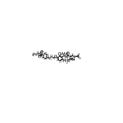 COc1c(CNC(=O)c2cc(C3CC3)nn2C)cccc1OCCCN1CCN(S(=O)(=O)CC(C)C)CC1